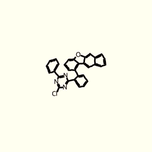 Clc1nc(-c2ccccc2)nc(-c2ccccc2-c2cccc3oc4cc5ccccc5cc4c23)n1